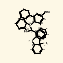 CC(C)(C)c1cc(C2=CC=CCC2)c(N2c3ccccc3NC2c2cccc3c2OC2C=CC=CC32C)c([C@@H]2CC=CCC2)c1